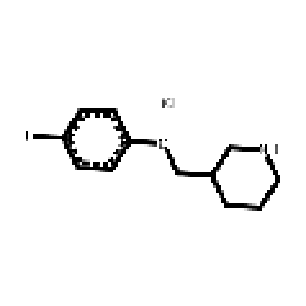 Cl.Fc1ccc(OCC2CCCNC2)cc1